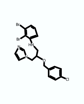 Clc1ccc(COC(CNc2cccc(Br)c2Br)Cn2ccnc2)cc1